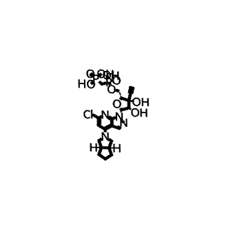 C#C[C@@]1(O)[C@@H](COP(=O)(O)CP(=O)(O)O)O[C@@H](n2ncc3c(N4C[C@H]5CCC[C@H]5C4)cc(Cl)nc32)[C@@H]1O